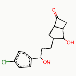 O=C1CC2C1CC(CCC(O)c1ccc(Cl)cc1)C2O